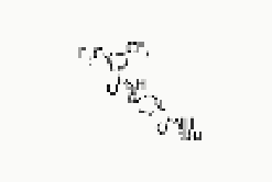 CC(C)(C)NC(=O)CN1CCC2(CC1)C[C@@H]2NC(=O)c1cc(C(F)(F)F)cc(C(F)(F)F)c1